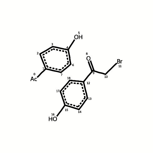 CC(=O)c1ccc(O)cc1.O=C(CBr)c1ccc(O)cc1